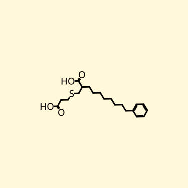 O=C(O)CCSCC(CCCCCCCCc1ccccc1)C(=O)O